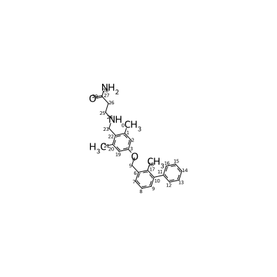 Cc1cc(OCc2cccc(-c3ccccc3)c2C)cc(C)c1CNCCC(N)=O